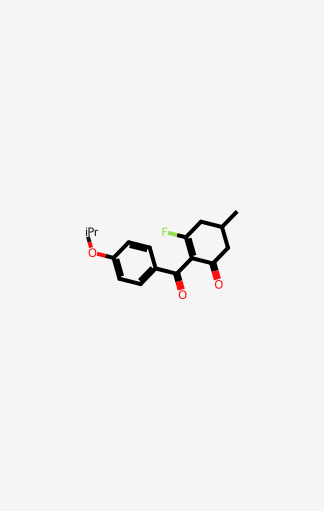 CC1CC(=O)C(C(=O)c2ccc(OC(C)C)cc2)=C(F)C1